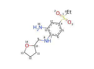 CCS(=O)(=O)c1ccc(NCC2CCCO2)c(N)c1